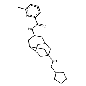 Cc1cccc(C(=O)NC2CC3CC4CC(NCC5CCCC5)(C3)CC4C2)n1